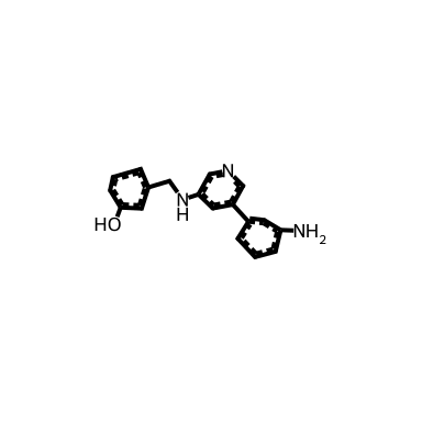 Nc1cccc(-c2cncc(NCc3cccc(O)c3)c2)c1